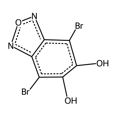 Oc1c(O)c(Br)c2nonc2c1Br